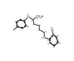 Cc1ccc(OC(CCCCOc2ccccc2Cl)C(=O)O)cc1